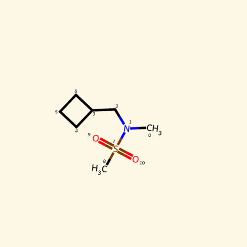 CN(CC1CCC1)S(C)(=O)=O